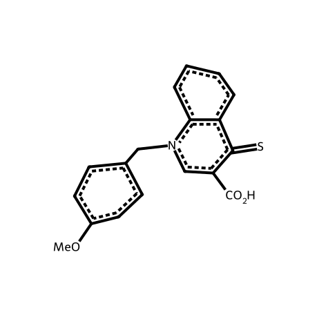 COc1ccc(Cn2cc(C(=O)O)c(=S)c3ccccc32)cc1